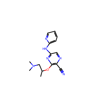 CC(CN(C)C)Oc1nc(Nc2ccccn2)cnc1C#N